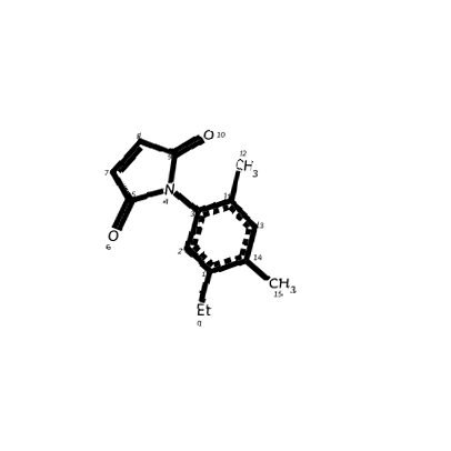 CCc1cc(N2C(=O)C=CC2=O)c(C)cc1C